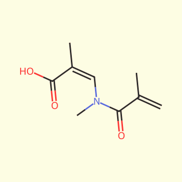 C=C(C)C(=O)N(C)C=C(C)C(=O)O